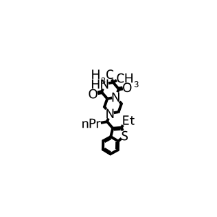 CCCC(c1c(CC)sc2ccccc12)N1CCN2C(=O)C(C)(C)NC(=O)C2C1